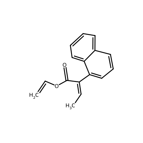 C=COC(=O)C(=CC)c1cccc2ccccc12